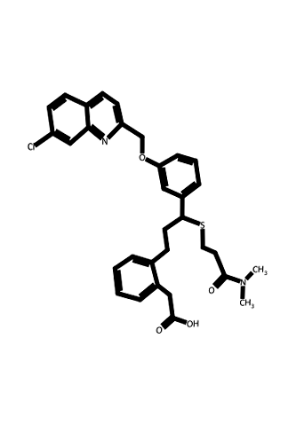 CN(C)C(=O)CCSC(CCc1ccccc1CC(=O)O)c1cccc(OCc2ccc3ccc(Cl)cc3n2)c1